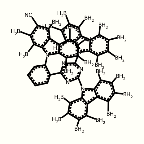 Bc1c(B)c(B)c2c(c1B)c1c(B)c(B)c(B)c(B)c1n2-c1nc(-c2ccccc2-n2c3c(B)c(B)c(B)c(B)c3c3c(B)c(C#N)c(B)c(B)c32)nc(-n2c3c(B)c(B)c(B)c(B)c3c3c(B)c(B)c(B)c(B)c32)n1